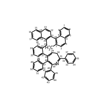 Cc1ccc2ccccc2c1-c1ccc2ccccc2c1Cc1ccccc1C1=CCC(c2ccccc2)=NC(c2ccccc2)=C1c1ccccc1